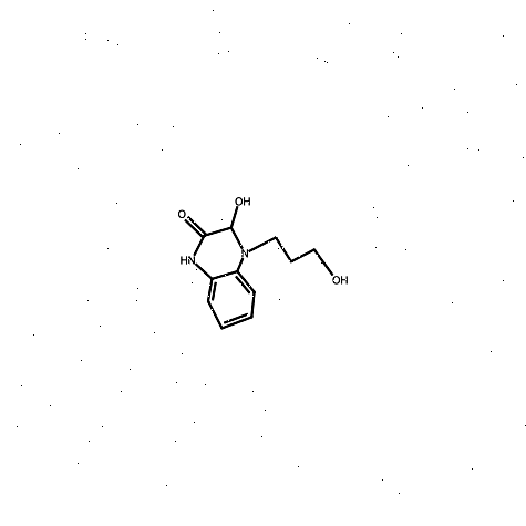 O=C1Nc2ccccc2N(CCCO)C1O